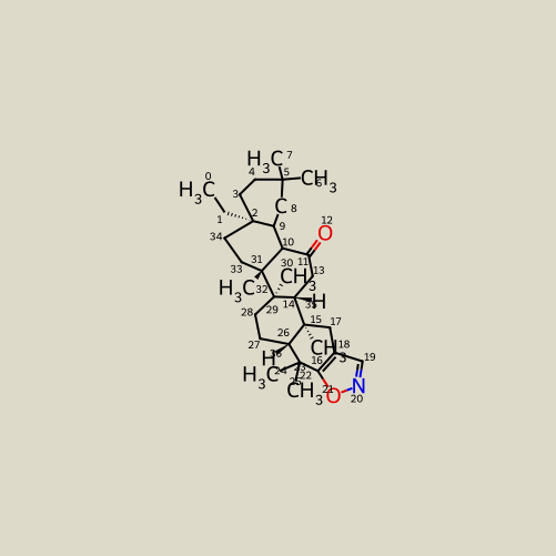 CC[C@]12CCC(C)(C)CC1C1C(=O)C[C@@H]3[C@@]4(C)Cc5cnoc5C(C)(C)[C@@H]4CC[C@@]3(C)[C@]1(C)CC2